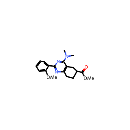 COC(=O)C1CCc2nc(-c3ccccc3OC)nc(N(C)C)c2C1